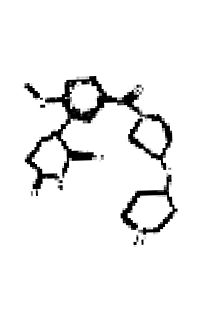 COc1ccc(C(=O)N2CCC(OC3CCNCC3)CC2)cc1C1CCC(=O)NC1=O